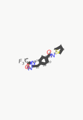 O=C(N=S1C=CC=C1)c1ccc(Cc2noc(C(F)(F)F)n2)cc1